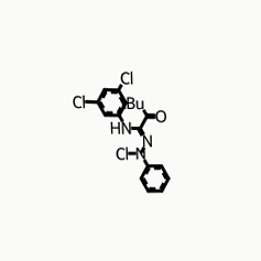 CC(C)(C)C(=O)C(=NN(Cl)c1ccccc1)Nc1cc(Cl)cc(Cl)c1